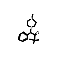 CN1CCN(C(C(=O)C(C)(C)C)c2ccccc2)CC1